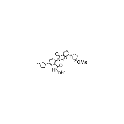 CCCNC(=O)c1cc(C2CCN(C)C2)ccc1NC(=O)c1csc(N2CC[C@H](OC)C2)n1